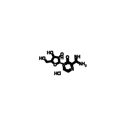 Cl.N=C(N)c1nccn([C@@H]2OC(CO)C(O)[C@H]2O)c1=O